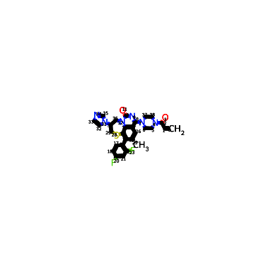 C=CC(=O)N1CCN(c2nc(=O)n3c4c(c(-c5ccc(F)cc5F)c(C)cc24)SCC(n2ccnc2)C3)CC1